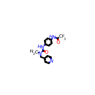 CN(Cc1ccncc1)C(=O)Nc1ccc(NC(=O)C(F)(F)F)cc1